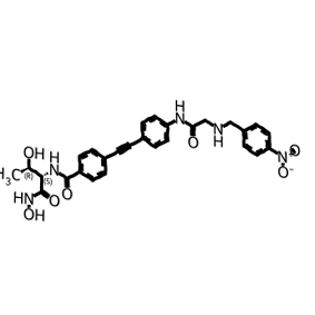 C[C@@H](O)[C@H](NC(=O)c1ccc(C#Cc2ccc(NC(=O)CNCc3ccc([N+](=O)[O-])cc3)cc2)cc1)C(=O)NO